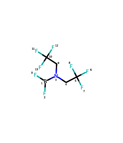 FB(F)N(CC(F)(F)F)CC(F)(F)F